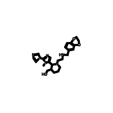 Cn1c(C2C(CO)CCCN2CCNCc2ccc3c(c2)OCCO3)cnc1-n1ccnc1